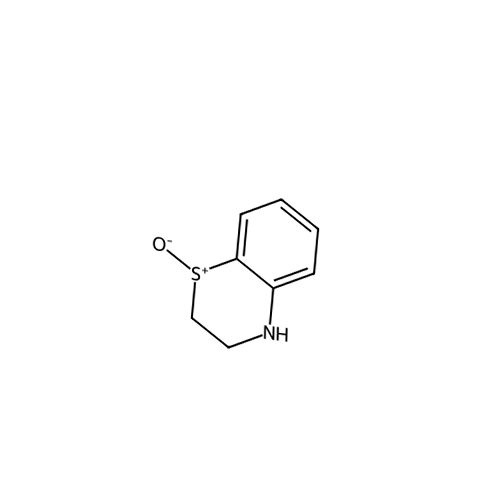 [O-][S+]1CCNc2ccccc21